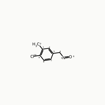 Cc1cc(CN=O)ccc1Cl